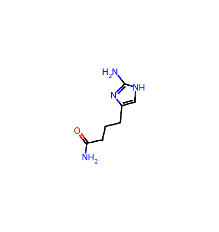 NC(=O)CCCc1c[nH]c(N)n1